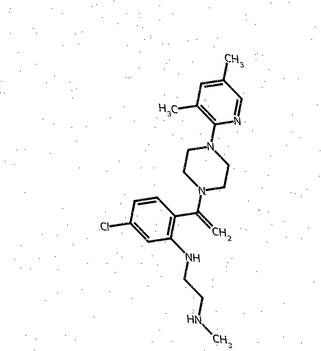 C=C(c1ccc(Cl)cc1NCCNC)N1CCN(c2ncc(C)cc2C)CC1